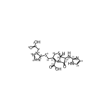 O=C(O)Cn1nnnc1SCC1=C(C(=O)O)N2C(=O)C(Nc3ncc[nH]3)[C@H]2SC1